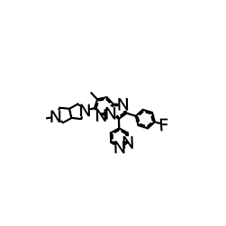 Cc1cc2nc(-c3ccc(F)cc3)c(-c3ccnnc3)n2nc1N1CC2CN(C)CC2C1